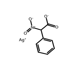 O=C([O-])C(c1ccccc1)[N+](=O)[O-].[Ag+]